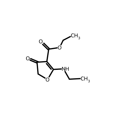 CCNC1=C(C(=O)OCC)C(=O)CO1